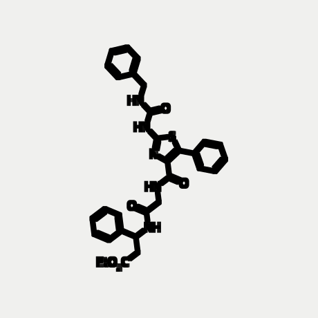 CCOC(=O)CC(NC(=O)CNC(=O)c1nc(NC(=O)NCc2ccccc2)sc1-c1ccccc1)c1ccccc1